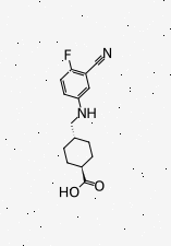 N#Cc1cc(NC[C@H]2CC[C@H](C(=O)O)CC2)ccc1F